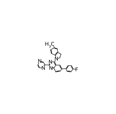 Cc1ccc2c(c1)CCN2c1nc(-c2cnccn2)nc2ccc(-c3ccc(F)cc3)cc12